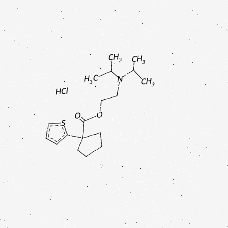 CC(C)N(CCOC(=O)C1(c2cccs2)CCCC1)C(C)C.Cl